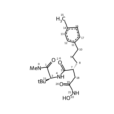 CNC(=O)[C@@H](NC(=O)[C@H](CCCc1ccc(C)cc1)CC(=O)NO)C(C)(C)C